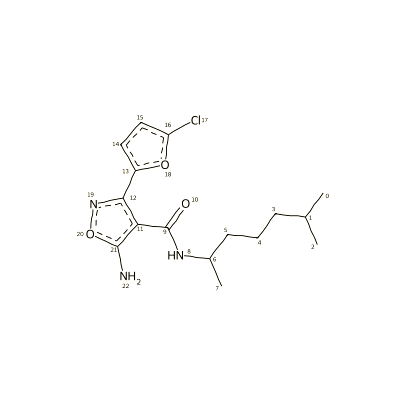 CC(C)CCCC(C)NC(=O)c1c(-c2ccc(Cl)o2)noc1N